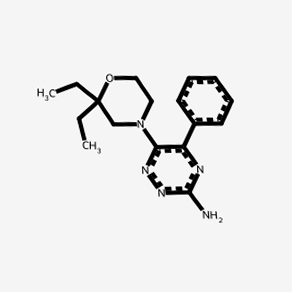 CCC1(CC)CN(c2nnc(N)nc2-c2ccccc2)CCO1